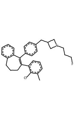 Cc1cccc(C2=C(c3ccc(CC4CN(CCCF)C4)cc3)c3ccccc3CCC2)c1Cl